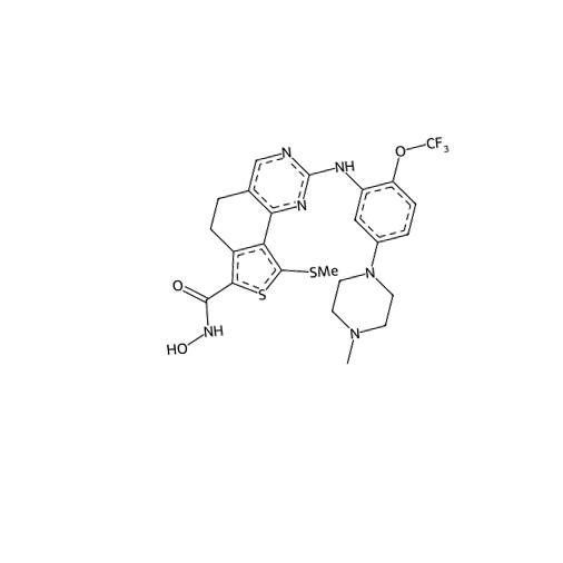 CSc1sc(C(=O)NO)c2c1-c1nc(Nc3cc(N4CCN(C)CC4)ccc3OC(F)(F)F)ncc1CC2